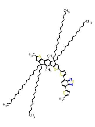 CCCCCCCCCCCCCCCCCC1(CCCCCCCCCCCCCCCCC)c2cc(C)sc2-c2c(C)c3c(c(C)c21)-c1sc(-c2ccc(-c4ccc(-c5ccc(C)s5)c5nsnc45)s2)cc1C3(CCCCCCCCCCCCCCCCC)CCCCCCCCCCCCCCCCC